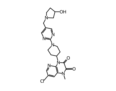 Cn1c(=O)c(=O)n(C2CCN(c3ncc(CN4CCC(O)C4)cn3)CC2)c2ncc(Cl)cc21